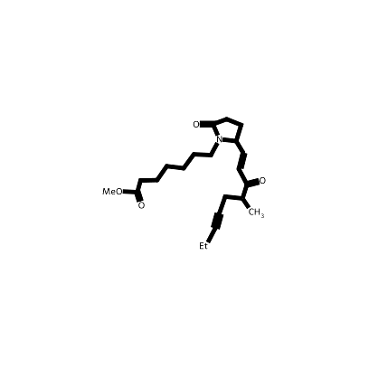 CCC#CCC(C)C(=O)/C=C/C1CCC(=O)N1CCCCCCC(=O)OC